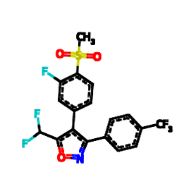 CS(=O)(=O)c1ccc(-c2c(-c3ccc(C(F)(F)F)cc3)noc2C(F)F)cc1F